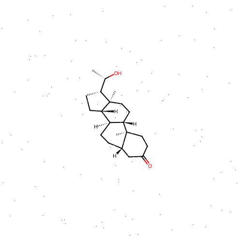 C[C@H](O)[C@H]1CC[C@H]2[C@@H]3CC[C@H]4CC(=O)CC[C@]4(C)[C@H]3CC[C@]12C